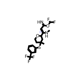 CN/C(=C\C(=N)OC(F)F)C1CC(C)(Sc2cccc(C(F)(F)F)c2)CCO1